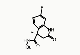 CCC(C)NC(=O)[C@]1(C)CC(=O)Nc2cc(F)ccc21